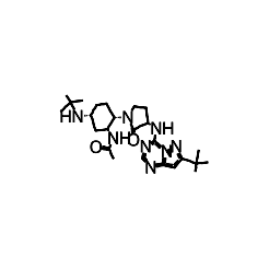 CC(=O)N[C@@H]1C[C@H](NC(C)(C)C)CC[C@@H]1N1CC[C@H](Nc2ncnc3cc(C(C)(C)C)nn23)C1=O